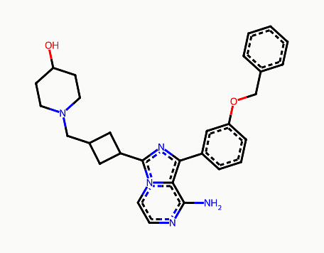 Nc1nccn2c(C3CC(CN4CCC(O)CC4)C3)nc(-c3cccc(OCc4ccccc4)c3)c12